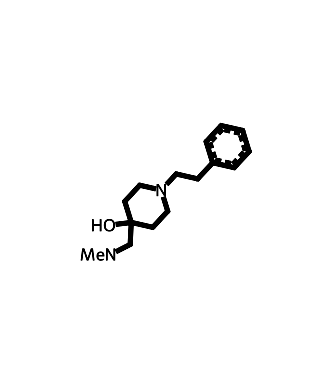 CNCC1(O)CCN(CCc2ccccc2)CC1